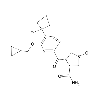 NC(=O)C1C[S+]([O-])CN1C(=O)c1ccc(C2(F)CCC2)c(OCC2CC2)n1